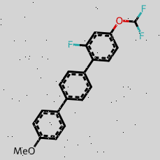 COc1ccc(-c2ccc(-c3ccc(OC(F)F)cc3F)cc2)cc1